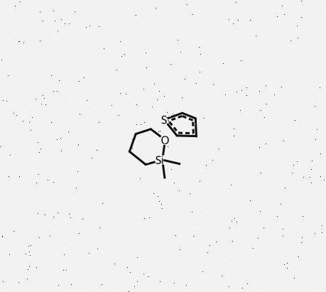 C[Si]1(C)CCCCO1.c1ccsc1